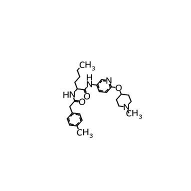 CCCCC(NC(=O)Cc1ccc(C)cc1)C(=O)Nc1ccc(OC2CCN(C)CC2)nc1